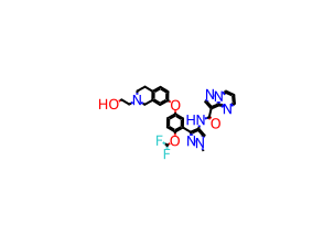 Cn1cc(NC(=O)c2cnn3cccnc23)c(-c2cc(Oc3ccc4c(c3)CN(CCO)CC4)ccc2OC(F)F)n1